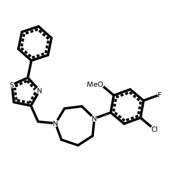 COc1cc(F)c(Cl)cc1N1CCCN(Cc2csc(-c3ccccc3)n2)CC1